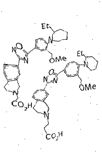 CCC1CCCCN1c1ccc(-c2nc(-c3ccc4c(c3)CN(CC(=O)O)CC4)no2)cc1COC.CCC1CCCCN1c1ccc(-c2nc(-c3ccc4c(c3)CN(CCC(=O)O)CC4)no2)cc1COC